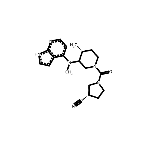 C[C@@H]1CCN(C(=O)N2CC[C@H](C#N)C2)CC1N(C)c1ccnc2[nH]ccc12